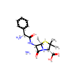 CC1(C)S[C@@H]2[C@H](NC(=O)[C@H](N)c3ccccc3)C(=O)N2[C@H]1C(=O)O.N